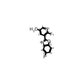 Cc1cnc(F)c(-c2nc3cc(F)ccc3o2)c1